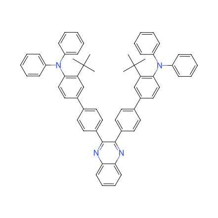 CC(C)(C)c1cc(-c2ccc(-c3nc4ccccc4nc3-c3ccc(-c4ccc(N(c5ccccc5)c5ccccc5)c(C(C)(C)C)c4)cc3)cc2)ccc1N(c1ccccc1)c1ccccc1